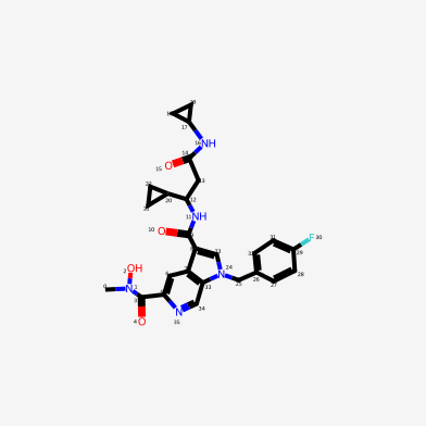 CN(O)C(=O)c1cc2c(C(=O)NC(CC(=O)NC3CC3)C3CC3)cn(Cc3ccc(F)cc3)c2cn1